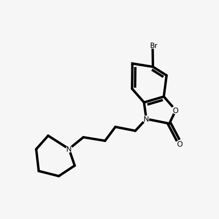 O=c1oc2cc(Br)ccc2n1CCCCN1CCCCC1